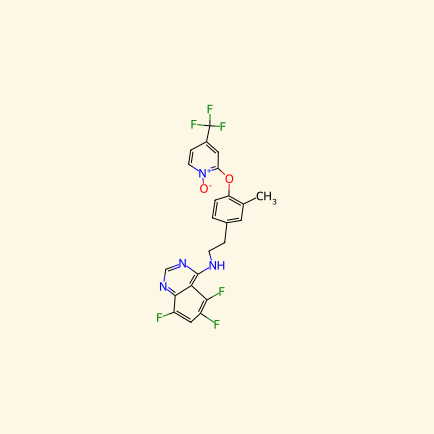 Cc1cc(CCNc2ncnc3c(F)cc(F)c(F)c23)ccc1Oc1cc(C(F)(F)F)cc[n+]1[O-]